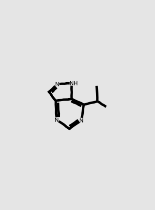 CC(C)c1ncnc2cn[nH]c12